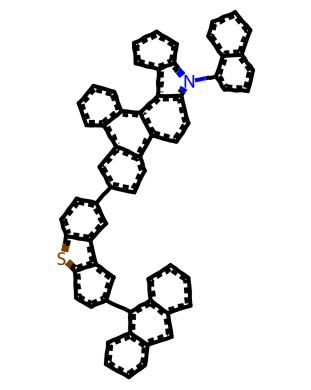 c1ccc2c(-n3c4ccccc4c4c5c6ccccc6c6cc(-c7ccc8sc9ccc(-c%10c%11ccccc%11cc%11ccccc%10%11)cc9c8c7)ccc6c5ccc43)cccc2c1